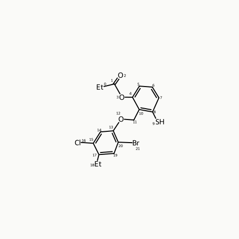 CCC(=O)Oc1cccc(S)c1COc1cc(Cl)c(CC)cc1Br